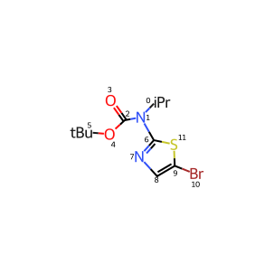 CC(C)N(C(=O)OC(C)(C)C)c1ncc(Br)s1